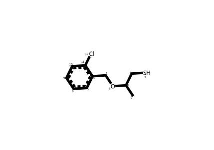 CC(CS)OCc1ccccc1Cl